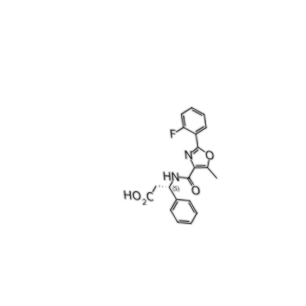 Cc1oc(-c2ccccc2F)nc1C(=O)N[C@@H](CC(=O)O)c1ccccc1